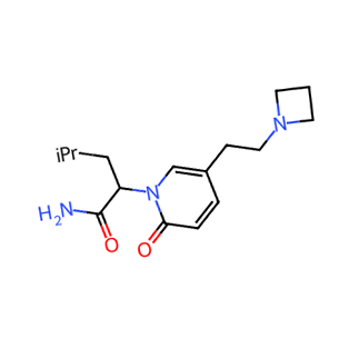 CC(C)CC(C(N)=O)n1cc(CCN2CCC2)ccc1=O